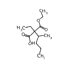 CCCC(C)C(CC)(C(=O)O)C(=O)OCC